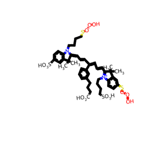 CC1(C)C(/C=C/C=C(/C=C/C=C2/N(CCCCSOOO)c3ccc(S(=O)(=O)O)cc3C2(C)C)c2cccc(CCCC(=O)O)c2)=[N+](CCCCS(=O)(=O)O)c2ccc(SOOO)cc21